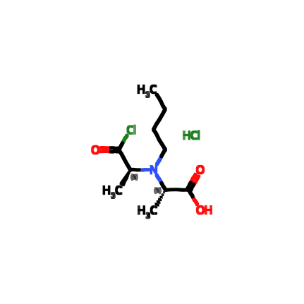 CCCCN([C@@H](C)C(=O)O)[C@@H](C)C(=O)Cl.Cl